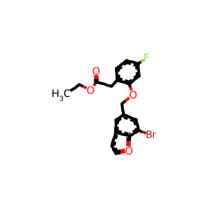 CCOC(=O)Cc1ccc(F)cc1OCc1cc(Br)c2occc2c1